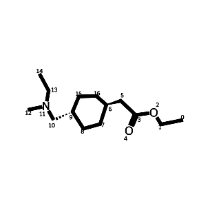 CCOC(=O)C[C@H]1CC[C@H](CN(C)CC)CC1